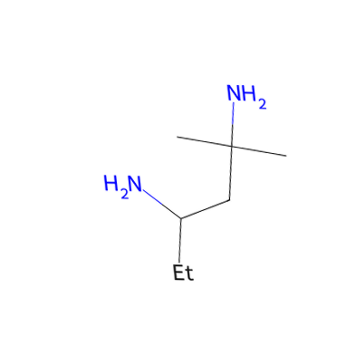 CCC(N)CC(C)(C)N